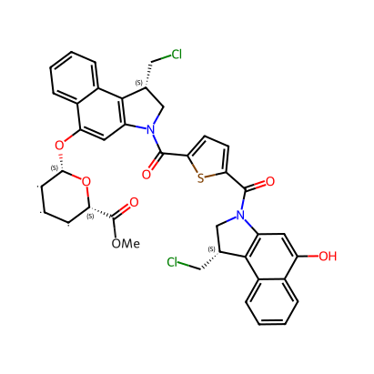 COC(=O)[C@@H]1[CH][CH][CH][C@H](Oc2cc3c(c4ccccc24)[C@H](CCl)CN3C(=O)c2ccc(C(=O)N3C[C@@H](CCl)c4c3cc(O)c3ccccc43)s2)O1